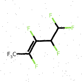 F/C(=C(/F)C(F)(F)F)C(F)C(F)F